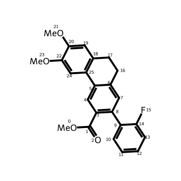 COC(=O)c1cc2c(cc1-c1ccccc1F)CCc1cc(OC)c(OC)cc1-2